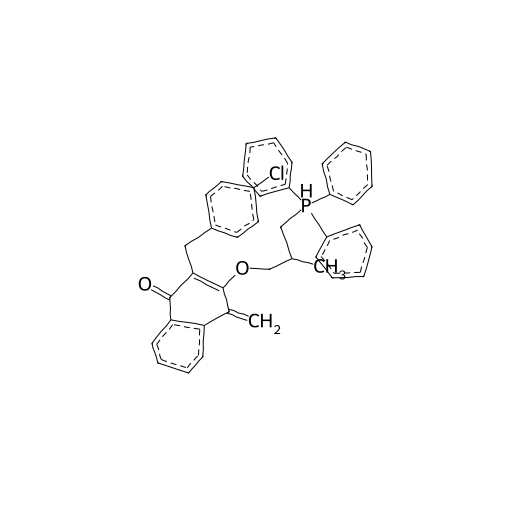 C=C1C(OCC(C)C[PH](c2ccccc2)(c2ccccc2)c2ccccc2)=C(Cc2ccc(Cl)cc2)C(=O)c2ccccc21